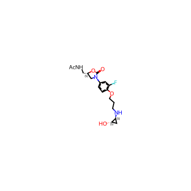 CC(=O)NC[C@H]1CN(c2ccc(OCCCN[C@H]3C[C@@H]3O)c(F)c2)C(=O)O1